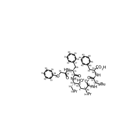 CC[C@H](C)[C@H](NC(=O)[C@H](C[C@H](O)[C@H](CC(C)C)NC(=O)[C@H](Cc1ccccc1)NC(=O)COc1ccccc1)C(C)C)C(=O)N[C@@H](Cc1ccccc1)C(=O)O